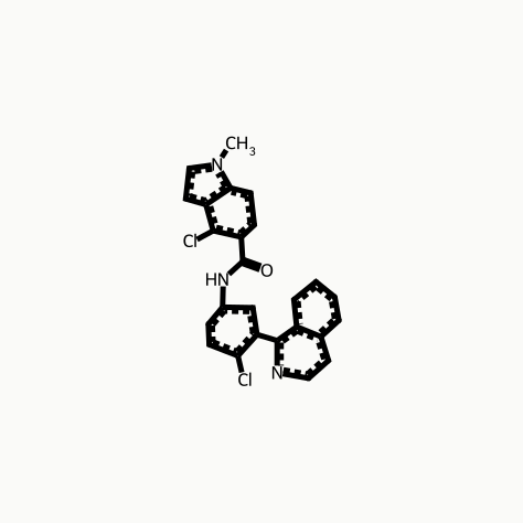 Cn1ccc2c(Cl)c(C(=O)Nc3ccc(Cl)c(-c4nccc5ccccc45)c3)ccc21